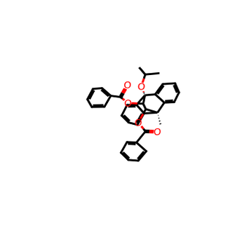 CC(C)O[C@]12c3ccccc3[C@](C)(c3ccccc31)C(OC(=O)c1ccccc1)C2OC(=O)c1ccccc1